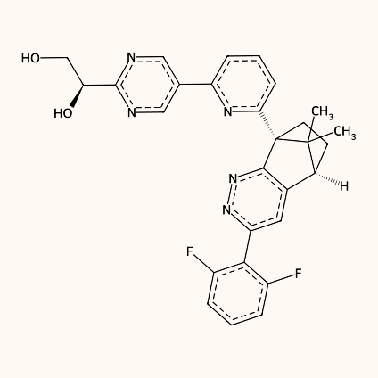 CC1(C)[C@H]2CC[C@]1(c1cccc(-c3cnc([C@@H](O)CO)nc3)n1)c1nnc(-c3c(F)cccc3F)cc12